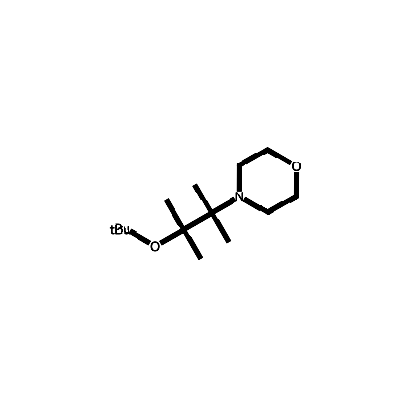 CC(C)(C)OC(C)(C)C(C)(C)N1CCOCC1